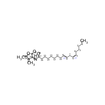 CCCCC/C=C\C/C=C/CCCCCCCC(=O)N[C@@H]1C(=O)O[C@H](C)[C@H]1C